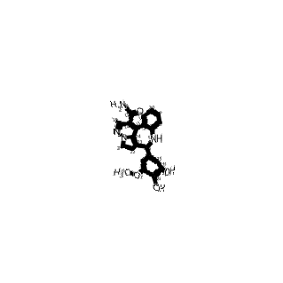 COc1cc(C2Nc3ccccc3-c3c(C(N)=O)cnn4ccc2c34)cc(O)c1O